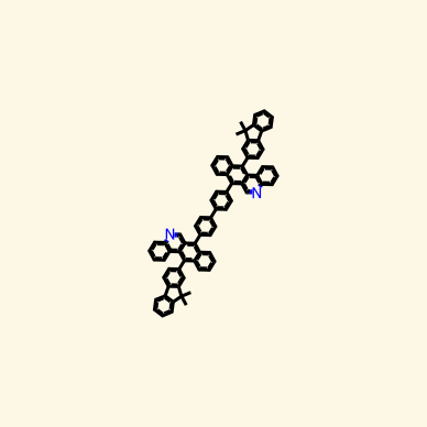 CC1(C)c2ccccc2-c2ccc(-c3c4ccccc4c(-c4ccc(-c5ccc(-c6c7ccccc7c(-c7ccc8c(c7)C(C)(C)c7ccccc7-8)c7c6cnc6ccccc67)cc5)cc4)c4cnc5ccccc5c34)cc21